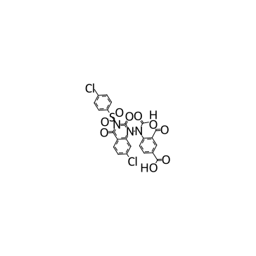 CC(=O)N(c1ccc(C(=O)O)cc1C(=O)O)n1c(=O)n(S(=O)(=O)c2ccc(Cl)cc2)c(=O)c2ccc(Cl)cc21